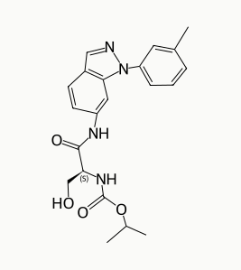 Cc1cccc(-n2ncc3ccc(NC(=O)[C@H](CO)NC(=O)OC(C)C)cc32)c1